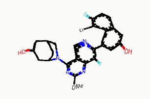 CCc1c(F)ccc2cc(O)cc(-c3ncc4c(N5CC6CC(O)CC5C6)nc(OC)nc4c3F)c12